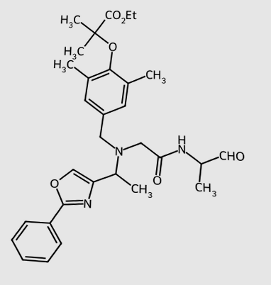 CCOC(=O)C(C)(C)Oc1c(C)cc(CN(CC(=O)NC(C)C=O)C(C)c2coc(-c3ccccc3)n2)cc1C